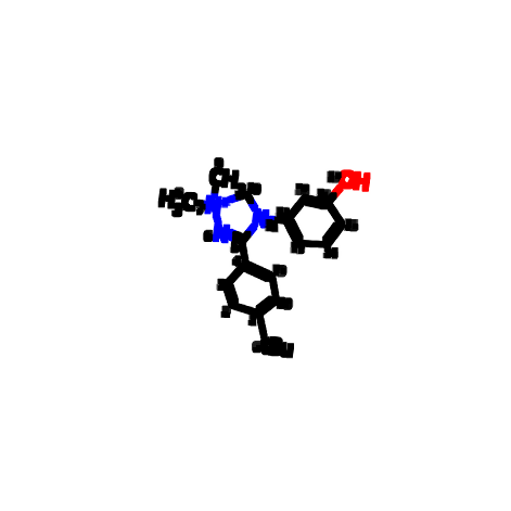 CC(C)(C)c1ccc(C2=N[N+](C)(C)CN2c2cccc(O)c2)cc1